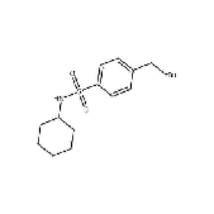 CC(C)(C)Cc1ccc(S(=O)(=O)NC2CCCCC2)cc1